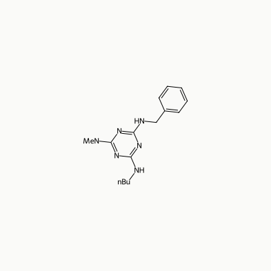 CCCCNc1nc(NC)nc(NCc2ccccc2)n1